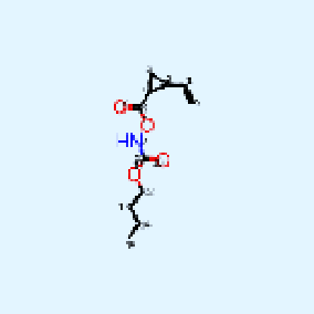 C=CC1CC1C(=O)ONC(=O)OCCCC